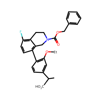 CCOc1cc(C(C)C(=O)O)ccc1-c1ccc(F)c2c1CN(C(=O)OCc1ccccc1)CC2